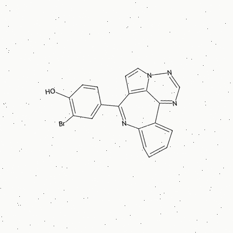 Oc1ccc(C2=Nc3ccccc3-c3ncnn4ccc2c34)cc1Br